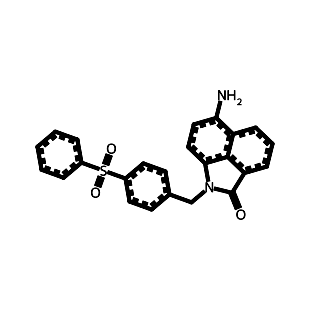 Nc1ccc2c3c(cccc13)C(=O)N2Cc1ccc(S(=O)(=O)c2ccccc2)cc1